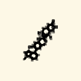 Cn1ncc2c(-c3cc(F)c(NC(=O)N4[C@H]5CC[C@@H]4c4n[nH]c(=O)cc4C5)cc3Cl)cccc21